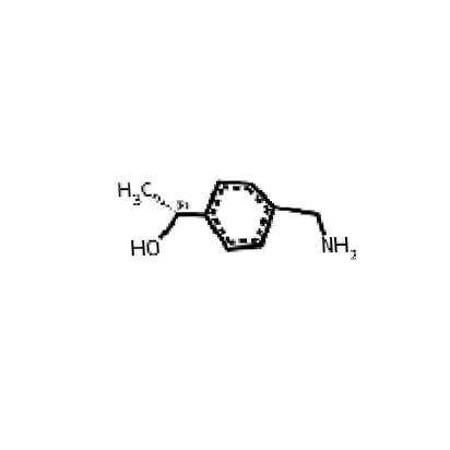 C[C@@H](O)c1ccc(CN)cc1